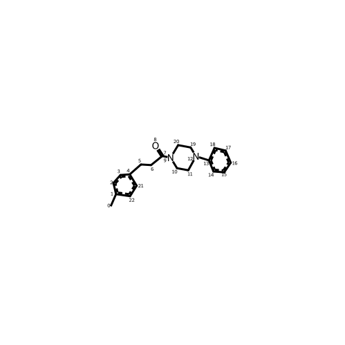 Cc1ccc(CCC(=O)N2CCN(c3ccccc3)CC2)cc1